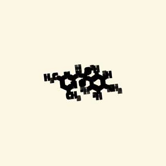 [2H]c1c([2H])c(S(=O)(=O)Nc2nc(C)cc(C)n2)c([2H])c([2H])c1N